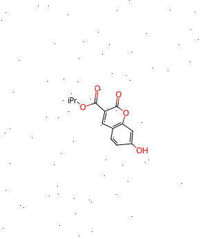 CC(C)OC(=O)c1cc2ccc(O)cc2oc1=O